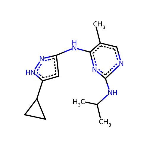 Cc1cnc(NC(C)C)nc1Nc1cc(C2CC2)[nH]n1